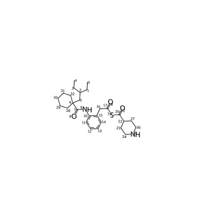 CCC(CC)CC1(C(=O)Nc2ccccc2CC(=O)SC(=O)C2CCNCC2)CCCCC1